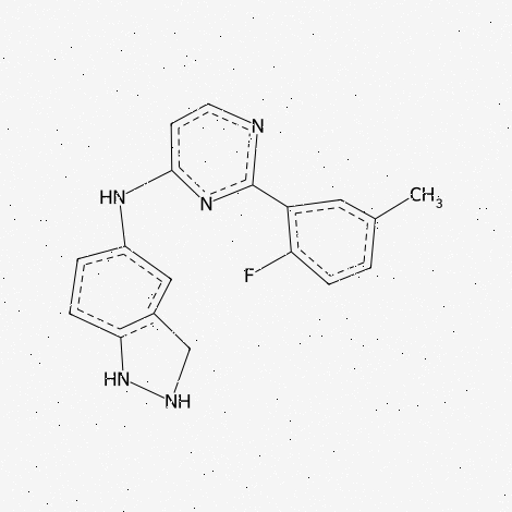 Cc1ccc(F)c(-c2nccc(Nc3ccc4c(c3)CNN4)n2)c1